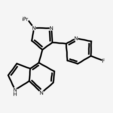 CC(C)n1cc(-c2ccnc3[nH]ccc23)c(-c2ccc(F)cn2)n1